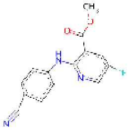 COC(=O)c1cc(F)cnc1Nc1ccc(C#N)cc1